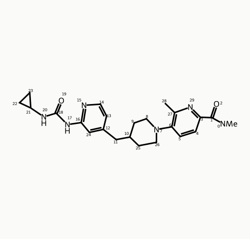 CNC(=O)c1ccc(N2CCC(Cc3ccnc(NC(=O)NC4CC4)c3)CC2)c(C)n1